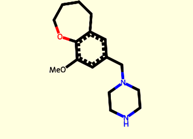 COc1cc(CN2CCNCC2)cc2c1OCCCC2